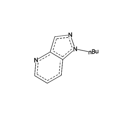 CCCCn1ncc2ncccc21